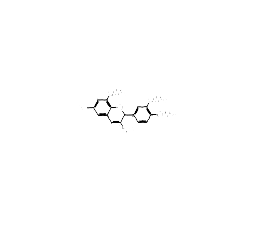 COc1ccc(C2Oc3c(cc(Br)cc3OC)C=C2[N+](=O)[O-])cc1OC